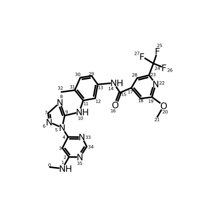 CNc1cc(-n2ncnc2Nc2cc(NC(=O)c3cc(OC)nc(C(F)(F)F)c3)ccc2C)ncn1